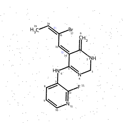 C=C1NCN=C(Nc2cccnc2F)/C1=C/C(Br)=C\C